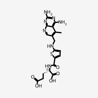 Cc1c(CNc2ccc(C(=O)N[C@@H](CCC(=O)O)C(=O)O)s2)cnc2nc(N)nc(N)c12